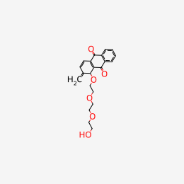 C=C1C=CC2=C(C(=O)c3ccccc3C2=O)C1OCCOCCOCCO